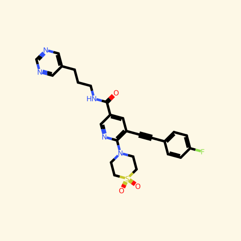 O=C(NCCCc1cncnc1)c1cnc(N2CCS(=O)(=O)CC2)c(C#Cc2ccc(F)cc2)c1